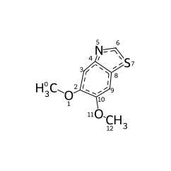 COc1cc2ncsc2cc1OC